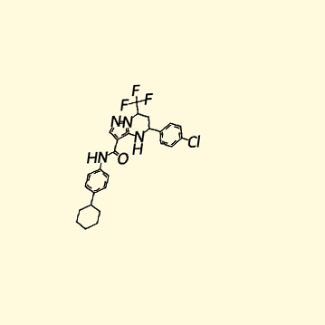 O=C(Nc1ccc(C2CCCCC2)cc1)c1cnn2c1NC(c1ccc(Cl)cc1)CC2C(F)(F)F